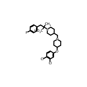 CC(Cc1ccc(F)cc1)(C(=O)O)N1CCC(CN2CCC(Oc3ccc(Cl)c(Cl)c3)CC2)CC1